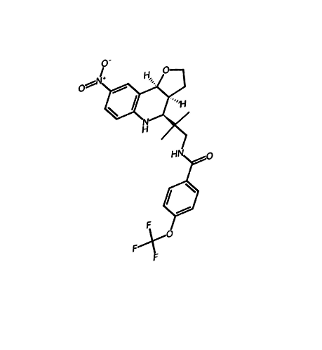 CC(C)(CNC(=O)c1ccc(OC(F)(F)F)cc1)[C@H]1Nc2ccc([N+](=O)[O-])cc2[C@H]2OCC[C@H]21